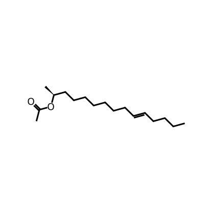 CCCCC=CCCCCCCC[C@H](C)OC(C)=O